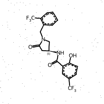 O=C(N[C@H]1CC(=O)N(Cc2ccccc2C(F)(F)F)C1)c1cc(C(F)(F)F)ccc1O